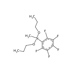 CCCO[Si](C)(OCCC)c1c(F)c(F)c(F)c(F)c1F